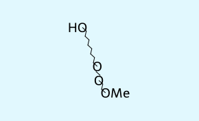 COCCOCCOCCCCCCCCO